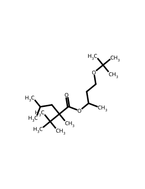 CC(C)CC(C)(C(=O)OC(C)CCOC(C)(C)C)C(C)(C)C